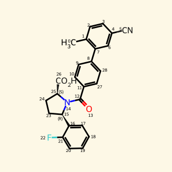 Cc1ccc(C#N)cc1-c1ccc(C(=O)N2[C@@H](c3ccccc3F)CC[C@H]2C(=O)O)cc1